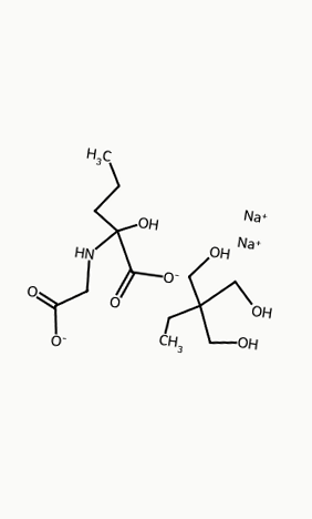 CCC(CO)(CO)CO.CCCC(O)(NCC(=O)[O-])C(=O)[O-].[Na+].[Na+]